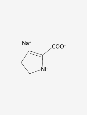 O=C([O-])C1=CCCN1.[Na+]